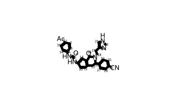 CC(=O)c1ccc(NC(=O)Nc2ccc3c(c2)C(=O)N(CCc2c[nH]cn2)C(c2ccc(C#N)cc2)C3)cc1